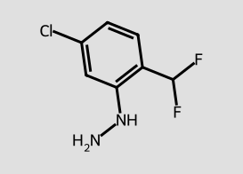 NNc1cc(Cl)ccc1C(F)F